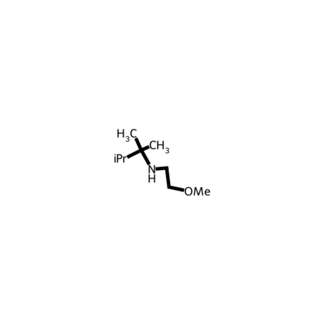 COCCNC(C)(C)C(C)C